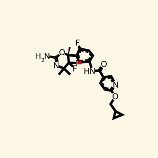 CC1(C)N=C(N)O[C@](C)(c2cc(NC(=O)c3ccc(OCC4CC4)nc3)ccc2F)C1(F)F